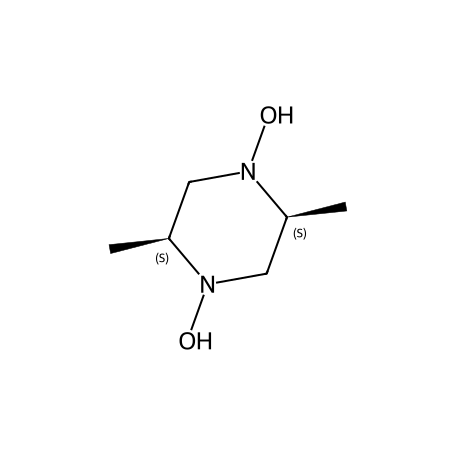 C[C@H]1CN(O)[C@@H](C)CN1O